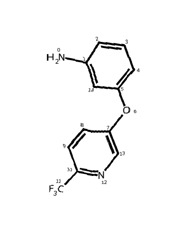 Nc1cccc(Oc2ccc(C(F)(F)F)nc2)c1